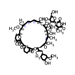 CO[C@H]1C[C@@H]2CC[C@@H](C)[C@@](O)(O2)C(=O)C(=O)N2CCCC[C@H]2C(=O)O[C@H]([C@H](C)C[C@@H]2CC[C@@H](O)[C@H](OC)C2)CC(=O)[C@H](C)/C=C(\C)[C@@H](O)[C@@H](OC)C(=O)[C@H](C)C[C@H](C)/C=C/C=C/C=C/1C.Cc1cn([C@H]2C[C@H](O)[C@@H](CO)O2)c(=O)[nH]c1=O